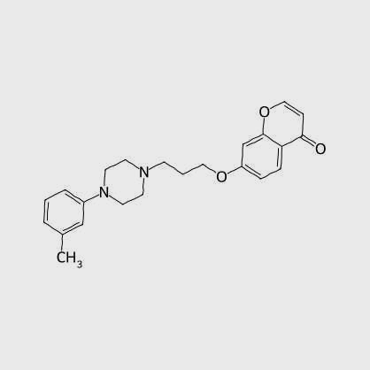 Cc1cccc(N2CCN(CCCOc3ccc4c(=O)ccoc4c3)CC2)c1